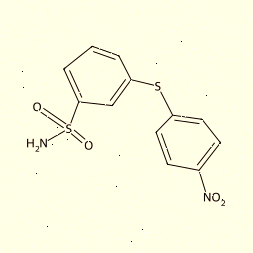 NS(=O)(=O)c1cccc(Sc2ccc([N+](=O)[O-])cc2)c1